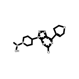 CB(O)N1CCC(n2nnc3c(C4=CCOCC4)nc(Cl)nc32)CC1